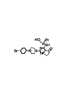 CC(C)[C@H](CO)Nc1nc(N2CCN(c3ccc(Br)cc3)CC2)nc2c1[S+]([O-])CC2